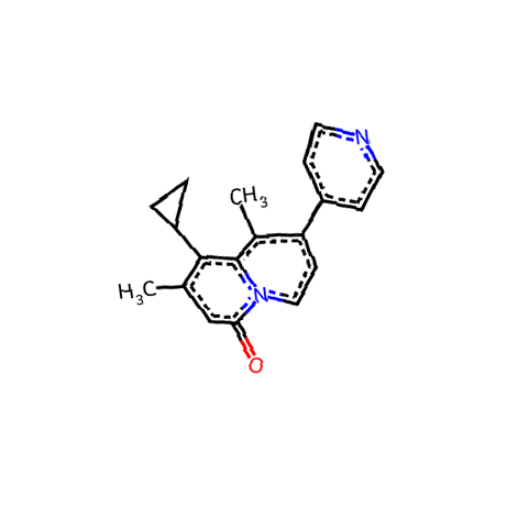 Cc1cc(=O)n2ccc(-c3ccncc3)c(C)c2c1C1CC1